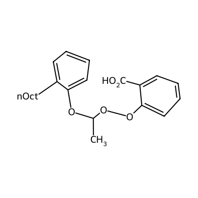 CCCCCCCCc1ccccc1OC(C)OOc1ccccc1C(=O)O